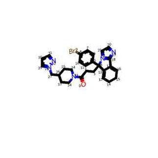 O=C(CCC1(c2ccc(Br)cc2)C2=CCCC=C2c2nccn21)N1CCC(Cn2cccn2)CC1